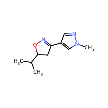 CC(C)C1CC(c2cnn(C)c2)=NO1